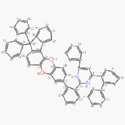 c1ccc(-c2cc(-c3ccccc3-c3ccccc3)nc(-c3ccccc3-c3ccc4c(c3)Oc3ccc5c(c3O4)-c3ccccc3C5(c3ccccc3)c3ccccc3)n2)cc1